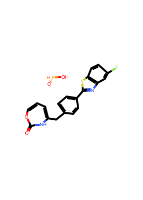 O=C1NC(Cc2ccc(-c3nc4cc(F)ccc4s3)cc2)=CC=CO1.O=[PH2]O